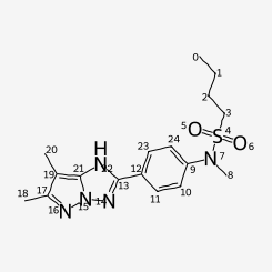 CCCCS(=O)(=O)N(C)c1ccc(-c2nn3nc(C)c(C)c3[nH]2)cc1